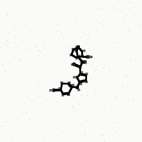 O=C(N[C@H]1CN2CCC1CC2)c1ccc(OC2=CCC(=S)C=C2)s1